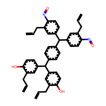 C=CCc1cc(C(c2ccc(C(c3ccc(N=O)c(CC=C)c3)c3ccc(N=O)c(CC=C)c3)cc2)c2ccc(O)c(CC=C)c2)ccc1O